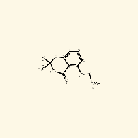 CCC1(C)OC(=O)c2c(OCOC)cccc2O1